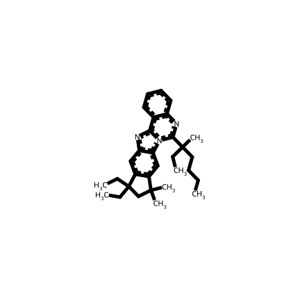 CCCCC(C)(CC)c1nc2ccccc2c2nc3cc4c(cc3n12)C(C)(C)CC4(CC)CC